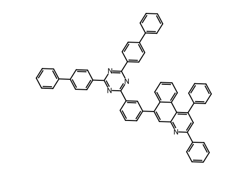 c1ccc(-c2ccc(-c3nc(-c4ccc(-c5ccccc5)cc4)nc(-c4cccc(-c5cc6nc(-c7ccccc7)cc(-c7ccccc7)c6c6ccccc56)c4)n3)cc2)cc1